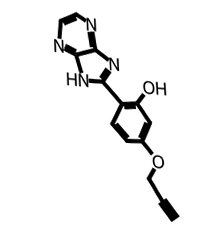 C#CCOc1ccc(-c2nc3nccnc3[nH]2)c(O)c1